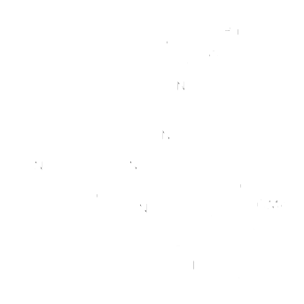 COc1cccc(F)c1-c1c(Cl)cc2c(N3CCN(C(=O)OC(C)(C)C)CC3)nc(OC[C@@H]3CCCN3C)nc2c1F